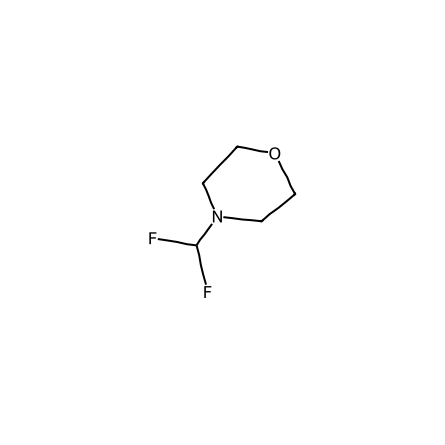 FC(F)N1CCOCC1